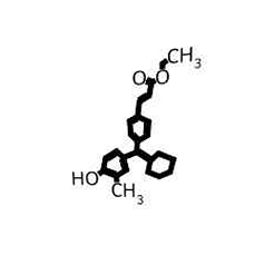 CCOC(=O)C=Cc1ccc(C(=C2CCCCC2)c2ccc(O)c(C)c2)cc1